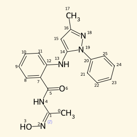 C/C(=N/O)NC(=O)c1ccccc1Nc1cc(C)nn1-c1ccccc1